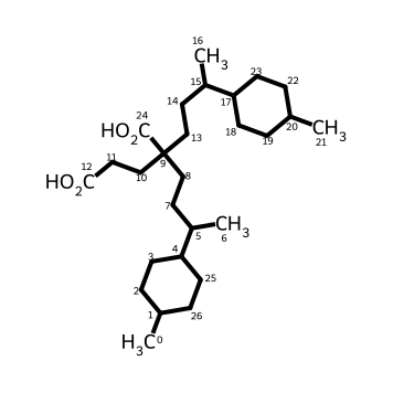 CC1CCC(C(C)CCC(CCC(=O)O)(CCC(C)C2CCC(C)CC2)C(=O)O)CC1